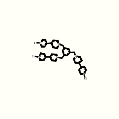 CC[n+]1ccc(-c2cc[n+](Cc3cc(C[n+]4ccc(-c5cc[n+](CC)cc5)cc4)cc(C[n+]4ccc(-c5cc[n+](CC)cc5)cc4)c3)cc2)cc1